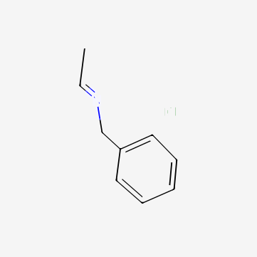 CC=NCc1ccccc1.Cl